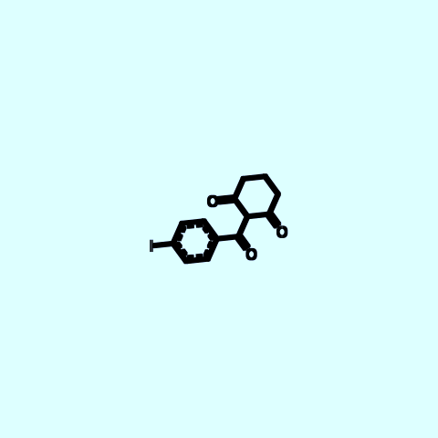 O=C1CCCC(=O)C1C(=O)c1ccc(I)cc1